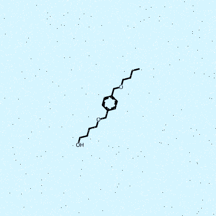 CCCCOCc1ccc(COCCCCO)cc1